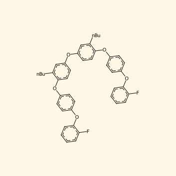 CCCCc1cc(Oc2ccc(Oc3ccc(Oc4ccccc4F)cc3)c(CCCC)c2)ccc1Oc1ccc(Oc2ccccc2F)cc1